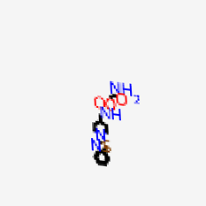 NC(=O)COC(=O)NCC1CCN(c2nc3ccccc3s2)CC1